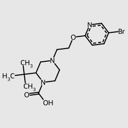 CC(C)(C)C1CN(CCOc2ccc(Br)cn2)CCN1C(=O)O